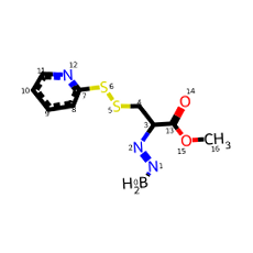 BN=NC(CSSc1ccccn1)C(=O)OC